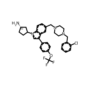 N[C@H]1CCC(n2cc(-c3ccc(OC(F)(F)F)cc3)c3cc(CN4CCN(Cc5ccccc5Cl)CC4)ccc32)C1